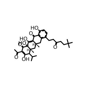 CC(=O)C1=C(O)C(C(C)C)[C@@]2(C)C[C@@]3(C)Cc4c(CCC(=O)CCC(C)(C)C)ccc(O)c4C(=O)C3=C(O)[C@@]2(O)C1=O